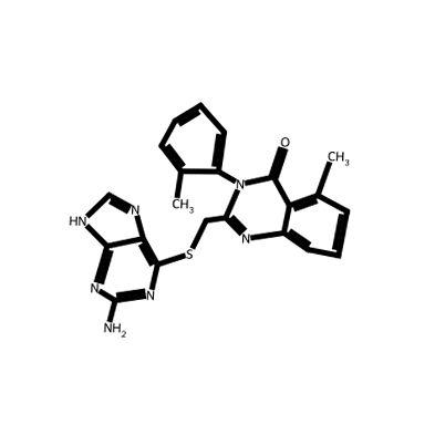 Cc1ccccc1-n1c(CSc2nc(N)nc3[nH]cnc23)nc2cccc(C)c2c1=O